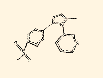 Cc1ccc(-c2ccc(S(C)(=O)=O)cc2)n1-c1cccnc1